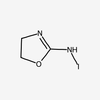 INC1=NCCO1